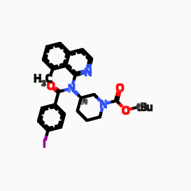 Cc1cccc2ccnc(N(C(=O)c3ccc(I)cc3)[C@@H]3CCCN(C(=O)OC(C)(C)C)C3)c12